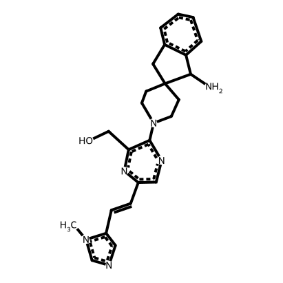 Cn1cncc1C=Cc1cnc(N2CCC3(CC2)Cc2ccccc2C3N)c(CO)n1